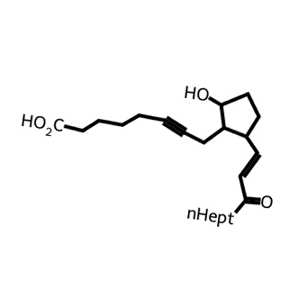 CCCCCCCC(=O)C=CC1CCC(O)C1CC#CCCCCC(=O)O